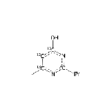 CC(C)[13c]1n[13c](C)[13cH][13c](O)n1